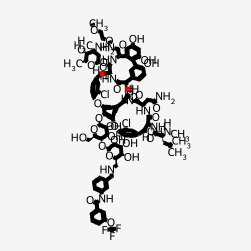 CN[C@H](CC(C)C)C(=O)NC1C(=O)NC(CC(N)=O)C(=O)N[C@H]2C(=O)N[C@H]3C(=O)N[C@H](C(=O)NC(C(=O)NOCCOC)c4cc(O)cc(O)c4-c4cc3ccc4O)[C@H](O[C@H]3C[C@](C)(N)[C@@H](O)[C@H](C)O3)c3ccc(c(Cl)c3)Oc3cc2cc(c3O[C@@H]2O[C@H](CO)[C@@H](O[C@@H]3O[C@H](CNCc4cccc(NC(=O)c5cccc(OC(F)(F)F)c5)c4)[C@H](O)[C@H](O)[C@H]3O)[C@H](O)[C@H]2O)Oc2ccc(cc2Cl)[C@H]1O